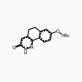 CCCCOc1ccc2c(c1)CCc1cc(=O)[nH]nc1-2